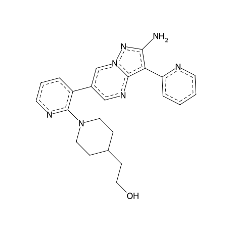 Nc1nn2cc(-c3cccnc3N3CCC(CCO)CC3)cnc2c1-c1ccccn1